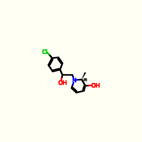 C[C@@H]1C(O)=CC=CN1CC(O)c1ccc(Cl)cc1